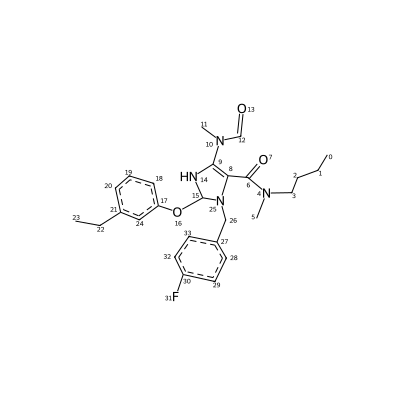 CCCCN(C)C(=O)C1=C(N(C)C=O)NC(Oc2cccc(CC)c2)N1Cc1ccc(F)cc1